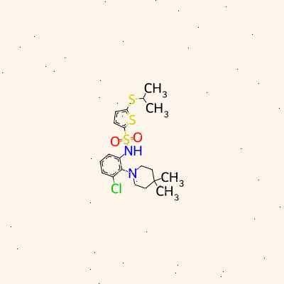 CC(C)Sc1ccc(S(=O)(=O)Nc2cccc(Cl)c2N2CCC(C)(C)CC2)s1